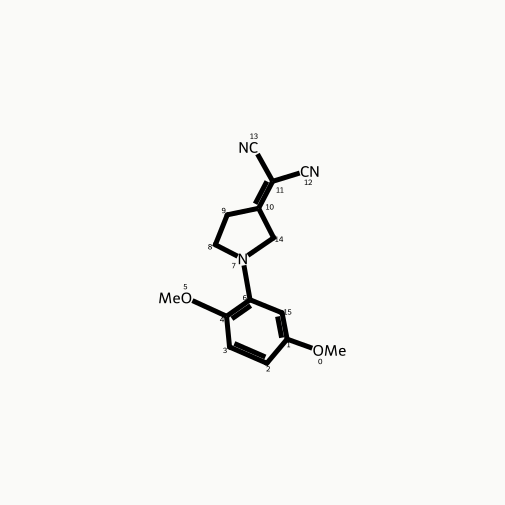 COc1ccc(OC)c(N2CCC(=C(C#N)C#N)C2)c1